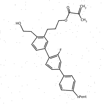 C=C(C)C(=O)OCCCc1cc(-c2ccc(-c3ccc(CCCCC)cc3)cc2F)ccc1CCO